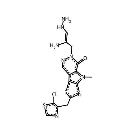 Cn1c2nc(Cc3ncsc3Cl)sc2c2cnn(C/C(N)=C/NN)c(=O)c21